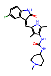 Cc1[nH]c(/C=C2\C(=O)Nc3ccc(F)cc32)c(C)c1NC(=O)NC1CCN(C)CC1